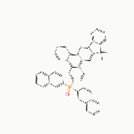 CC1(C)c2ccccc2-c2cc3c4ccccc4c4cc(P(=O)(c5ccc6ccccc6c5)c5ccc6ccccc6c5)ccc4c3cc21